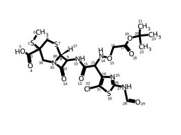 CSC1(C(=O)O)CS[C@@H]2C(NC(=O)C(NOCC(=O)OC(C)(C)C)c3nc(NC=O)sc3Cl)C(=O)N2C1